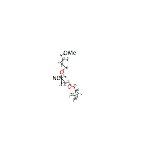 COCC1(F)CC1COCC1(C#N)CC1COCC1CC1(F)F